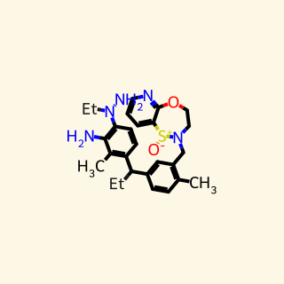 CCC(c1ccc(C)c(CN2CCOc3ncccc3[S+]2[O-])c1)c1ccc(N(N)CC)c(N)c1C